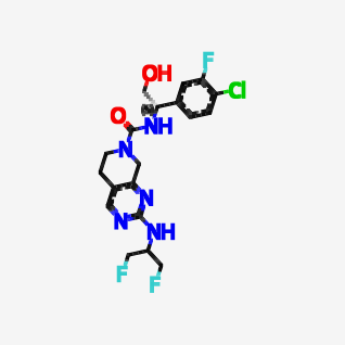 O=C(N[C@H](CO)c1ccc(Cl)c(F)c1)N1CCc2cnc(NC(CF)CF)nc2C1